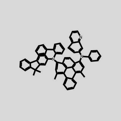 Cc1cc(N(c2ccccc2)c2ccc3cccnc3c2)c2ccc3c(N(c4ccc5c(c4)C(C)(C)c4ccccc4-5)c4ccccc4-c4ccccc4)cc(C)c4c5ccccc5c1c2c34